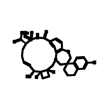 COC(=O)[C@H]1CC/C=C/[C@H](O)[C@@H]2CC[C@H]2CN2C[C@@]3(CCCc4cc(Cl)ccc43)COc3ccc(cc32)C(=O)NS1(=O)=O